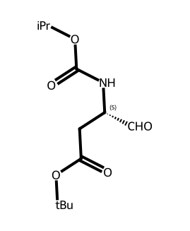 CC(C)OC(=O)N[C@H](C=O)CC(=O)OC(C)(C)C